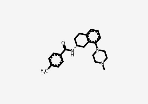 CN1CCN(c2cccc3c2C[C@H](NC(=O)c2ccc(C(F)(F)F)cc2)CC3)CC1